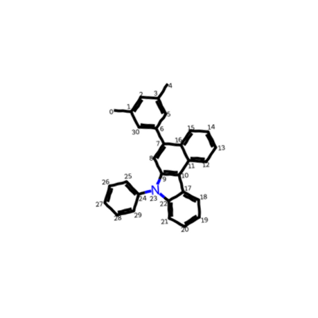 Cc1cc(C)cc(-c2cc3c(c4ccccc24)c2ccccc2n3-c2ccccc2)c1